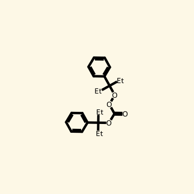 CCC(CC)(OOC(=O)OC(CC)(CC)c1ccccc1)c1ccccc1